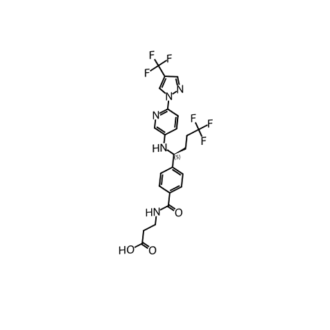 O=C(O)CCNC(=O)c1ccc([C@H](CCC(F)(F)F)Nc2ccc(-n3cc(C(F)(F)F)cn3)nc2)cc1